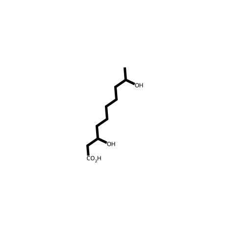 CC(O)CCCCCC(O)CC(=O)O